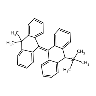 CC1(C)c2ccccc2C(=C2c3ccccc3C([Si](C)(C)C)c3ccccc32)c2ccccc21